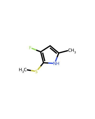 CSc1[nH]c(C)cc1F